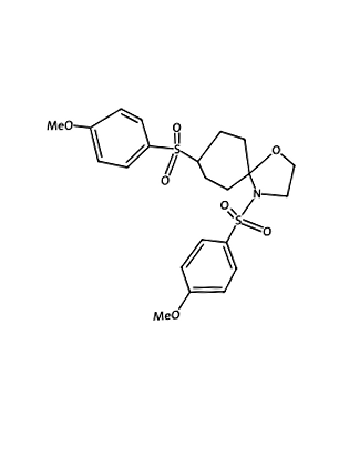 COc1ccc(S(=O)(=O)C2CCC3(CC2)OCCN3S(=O)(=O)c2ccc(OC)cc2)cc1